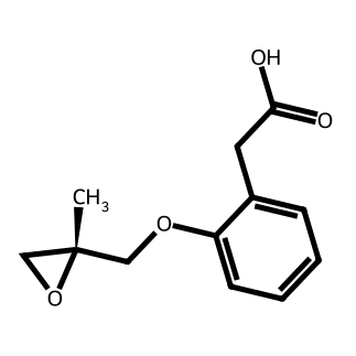 C[C@]1(COc2ccccc2CC(=O)O)CO1